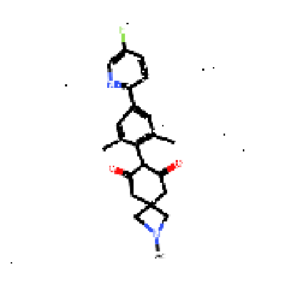 CC(=O)N1CC2(CC(=O)C(c3c(C)cc(-c4ccc(F)cn4)cc3C)C(=O)C2)C1